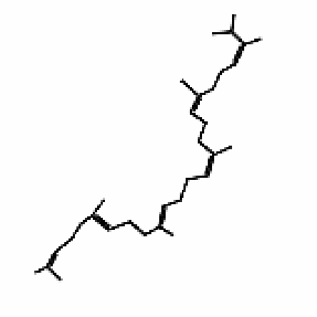 CC(C)=CCCC(C)=CCCC(C)=CCCC=C(C)CCC=C(C)CCC=C(C)C(C)C